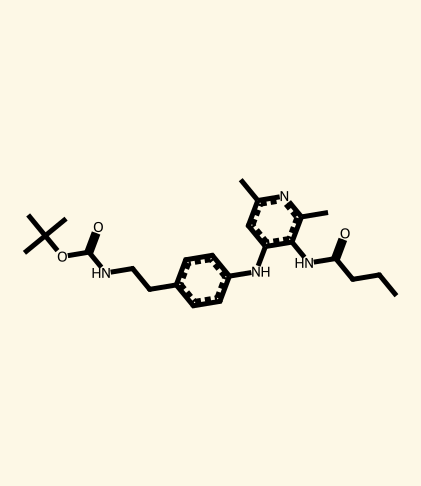 CCCC(=O)Nc1c(Nc2ccc(CCNC(=O)OC(C)(C)C)cc2)cc(C)nc1C